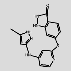 Cc1cc(Nc2ccnc(Sc3ccc4c(=O)[nH][nH]c4c3)c2)n[nH]1